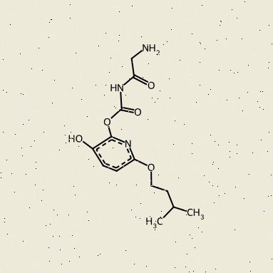 CC(C)CCOc1ccc(O)c(OC(=O)NC(=O)CN)n1